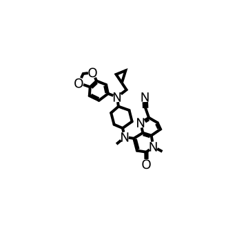 CN(c1cc(=O)n(C)c2ccc(C#N)nc12)C1CCC(N(CC2CC2)c2ccc3c(c2)OCO3)CC1